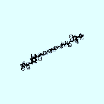 O=C(CCN1C(=O)CC(C2C=CC2)C1=O)NCCOCCOCCOCCOCCC(=O)Nc1ccc(CCC(=O)N2CCC2=O)cc1